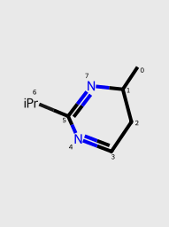 CC1CC=NC(C(C)C)=N1